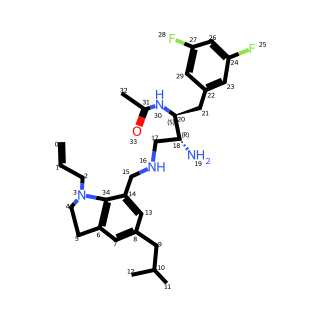 C=CCN1CCc2cc(CC(C)C)cc(CNC[C@@H](N)[C@H](Cc3cc(F)cc(F)c3)NC(C)=O)c21